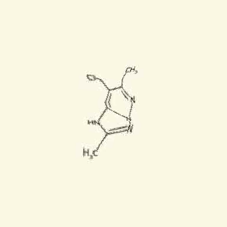 Cc1nn2nc(C)c(Cl)c2[nH]1